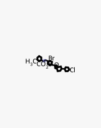 Cc1cccc(/C=C/c2ccc(-c3cc4ccc(-c5ccc(Cl)cc5)cc4o3)cc2Br)c1C(=O)O